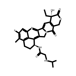 CC[C@@]1(O)C(=O)OCc2c1cc1n(c2=O)Cc2c-1nc1cc(F)c(C)c3c1c2[C@@H](NC(=O)CNC(C)C)CC3